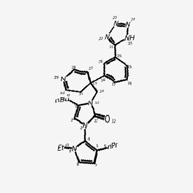 CCCCc1cn(-c2c(CCC)ccn2CC)c(=O)n1CC1(c2cccc(-c3nnn[nH]3)c2)C=CN=CC1